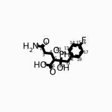 NC(=O)CCC(C(=O)O)C(O)(Cc1ccc(F)cc1)[PH2]=O